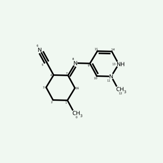 CC1CCC(C#N)C(=NC2=CN(C)NC=C2)C1